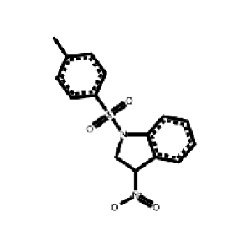 Cc1ccc(S(=O)(=O)N2CC([N+](=O)[O-])c3ccccc32)cc1